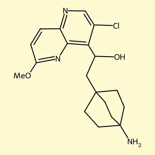 COc1ccc2ncc(Cl)c(C(O)CC34CCC(N)(CC3)CC4)c2n1